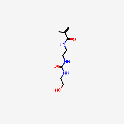 C=C(C)C(=O)NCCNC(=O)NCCO